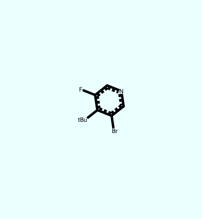 CC(C)(C)c1c(F)cncc1Br